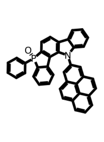 O=P1(c2ccccc2)c2ccccc2-c2c1ccc1c3ccccc3n(-c3cc4ccc5cccc6ccc(c3)c4c56)c21